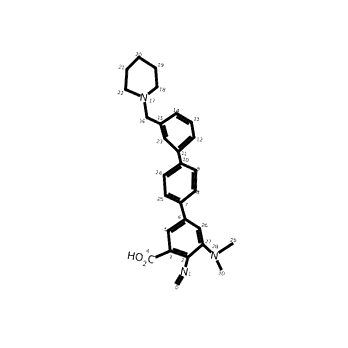 C=Nc1c(C(=O)O)cc(-c2ccc(-c3cccc(CN4CCCCC4)c3)cc2)cc1N(C)C